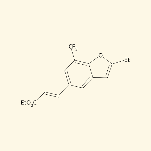 CCOC(=O)/C=C/c1cc(C(F)(F)F)c2oc(CC)cc2c1